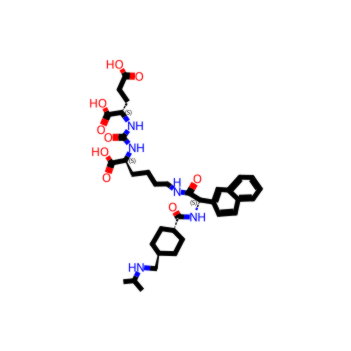 CC(C)NC[C@H]1CC[C@H](C(=O)N[C@H](C(=O)NCCCC[C@H](NC(=O)N[C@@H](CCC(=O)O)C(=O)O)C(=O)O)c2ccc3ccccc3c2)CC1